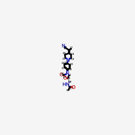 CC(=O)NC[C@H]1CN(c2ccc(N3CCC(=C(C)C#N)CC3)cc2)C(=O)O1